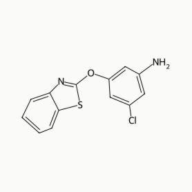 Nc1cc(Cl)cc(Oc2nc3ccccc3s2)c1